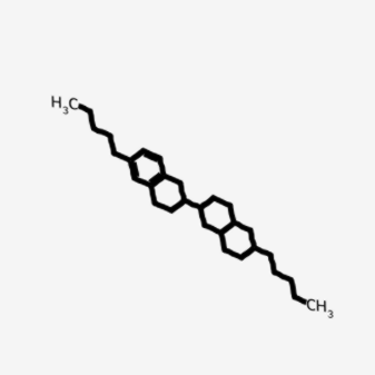 CCCCCc1ccc2c(c1)CCC(C1CCC3CC(CCCCC)CCC3C1)C2